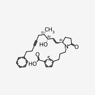 C[C@@H](CC#CCCc1ccccc1)[C@@H](O)C=C[C@H]1CCC(=O)N1CCCc1ccc(C(=O)O)s1